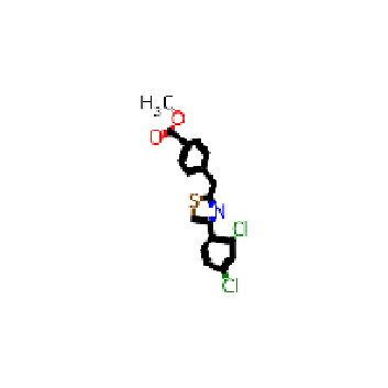 COC(=O)c1ccc(Cc2nc(-c3ccc(Cl)cc3Cl)cs2)cc1